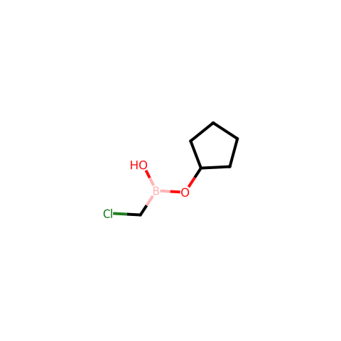 OB(CCl)OC1CCCC1